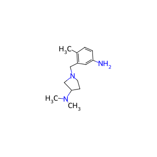 Cc1ccc(N)cc1CN1CCC(N(C)C)C1